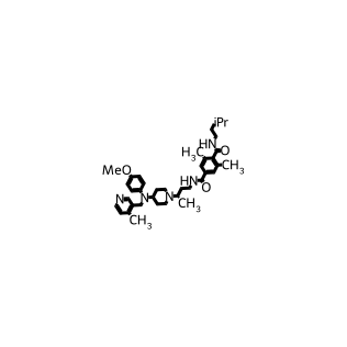 COc1ccc(N(Cc2cnccc2C)C2CCN([C@H](C)CCNC(=O)c3cc(C)c(C(=O)NCCC(C)C)c(C)c3)CC2)cc1